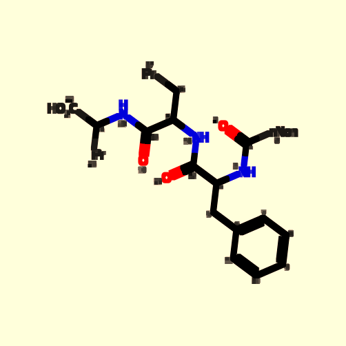 CCCCCCCCCC(=O)NC(Cc1ccccc1)C(=O)NC(CC(C)C)C(=O)NC(C(=O)O)C(C)C